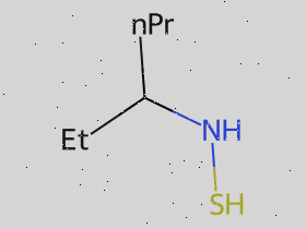 CCCC(CC)NS